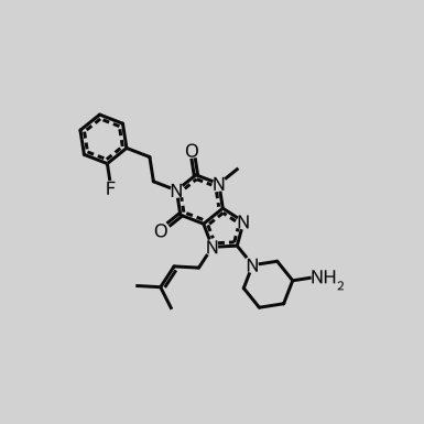 CC(C)=CCn1c(N2CCCC(N)C2)nc2c1c(=O)n(CCc1ccccc1F)c(=O)n2C